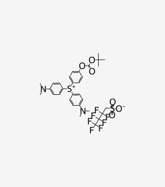 CN(C)c1ccc([S+](c2ccc(OC(=O)OC(C)(C)C)cc2)c2ccc(N(C)C)cc2)cc1.O=S(=O)([O-])CC(F)(F)C(F)(F)C(F)(F)F